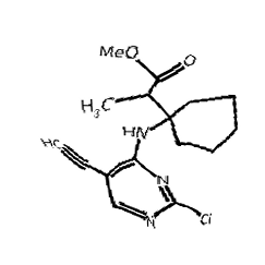 C#Cc1cnc(Cl)nc1NC1(C(C)C(=O)OC)CCCCC1